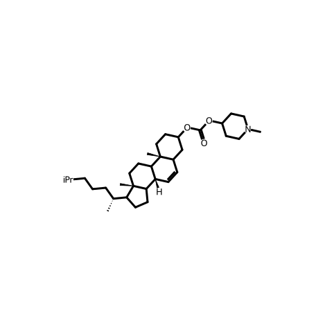 CC(C)CCC[C@@H](C)C1CCC2[C@H]3C=CC4CC(OC(=O)OC5CCN(C)CC5)CC[C@@]4(C)C3CC[C@]21C